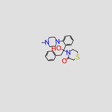 CN1CCN(c2ccccc2C(O)(Cc2ccccc2)N2CCSCC2=O)CC1